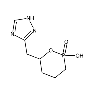 O=P1(O)CCCC(Cc2nc[nH]n2)O1